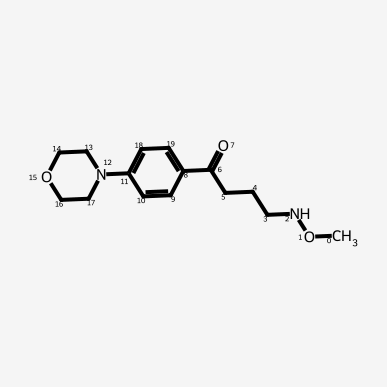 CONCCCC(=O)c1ccc(N2CCOCC2)cc1